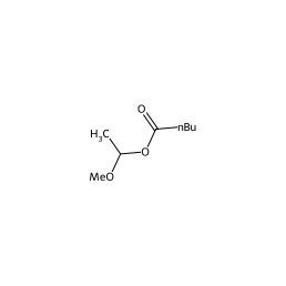 CCCCC(=O)OC(C)OC